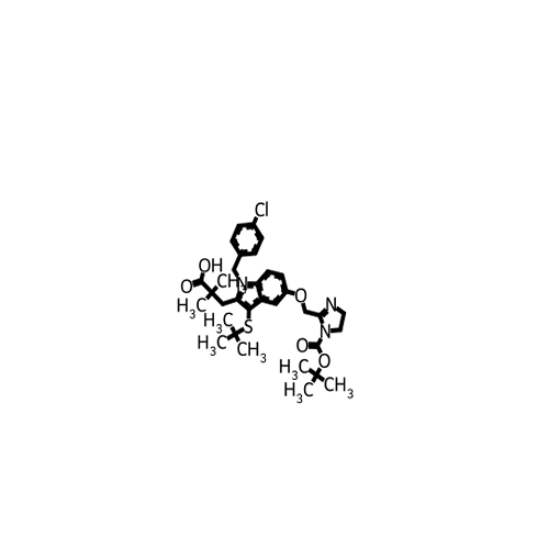 CC(C)(C)OC(=O)N1CCN=C1COc1ccc2c(c1)c(SC(C)(C)C)c(CC(C)(C)C(=O)O)n2Cc1ccc(Cl)cc1